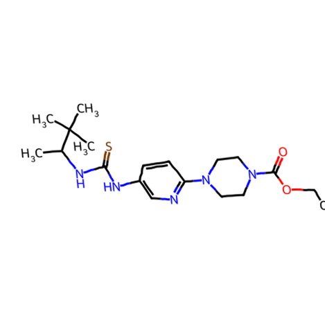 CCOC(=O)N1CCN(c2ccc(NC(=S)NC(C)C(C)(C)C)cn2)CC1